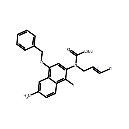 CC(C)COC(=O)N(C/C=C/Cl)c1cc(OCc2ccccc2)c2cc(N)ccc2c1I